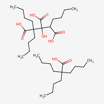 CCCCC(C(=O)O)C(O)(C(=O)O)C(CCCC)(CCCC)C(=O)O.CCCCC(CCCC)(CCCC)C(=O)O